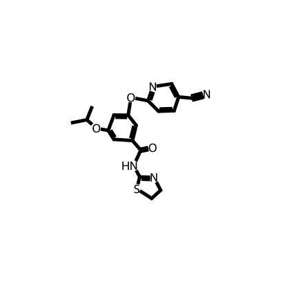 CC(C)Oc1cc(Oc2ccc(C#N)cn2)cc(C(=O)NC2=NCCS2)c1